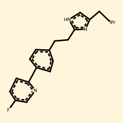 CC(C)Cc1c[nH]c(CCc2ccc(-c3ccc(F)cn3)cc2)n1